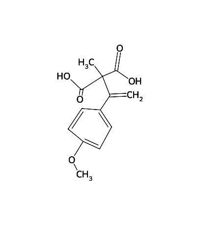 C=C(c1ccc(OC)cc1)C(C)(C(=O)O)C(=O)O